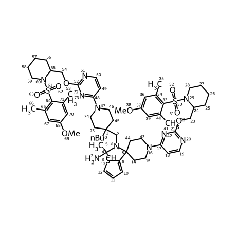 CCCCC1(CN(C(C)(C)N)C2(c3cccs3)CCN(c3ccnc(OCC4CCCCN4S(=O)(=O)c4c(C)cc(OC)cc4C)n3)CC2)CCN(c2ccnc(OCC3CCCCN3S(=O)(=O)c3c(C)cc(OC)cc3C)n2)CC1